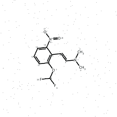 CN(C)/C=C/c1c(OC(F)F)cccc1[N+](=O)[O-]